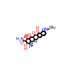 CN(C)[C@@H]1C(O)=C(C(N)=O)C(=O)[C@@]2(O)C(O)=C3C(=O)c4c(cc5ccc(NCC(C)(C)C)cc5c4O)C[C@H]3C[C@@H]12